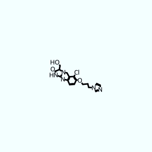 O=C1NC2=Nc3ccc(OCCCn4ccnc4)c(Cl)c3CN2C1CO